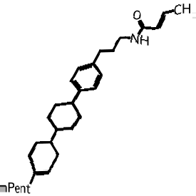 C/C=C/C(=O)NCCCc1ccc(C2CCC(C3CCC(CCCCC)CC3)CC2)cc1